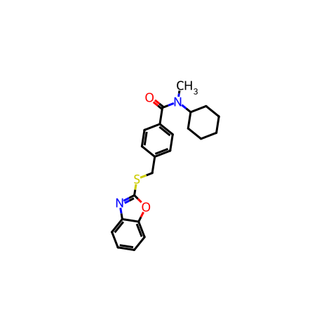 CN(C(=O)c1ccc(CSc2nc3ccccc3o2)cc1)C1CCCCC1